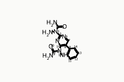 NC(=O)N(N)c1ncc(-c2ccccc2)c(N(N)C(N)=O)n1